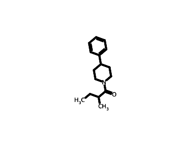 CCC(C)C(=O)N1CCC(c2ccccc2)CC1